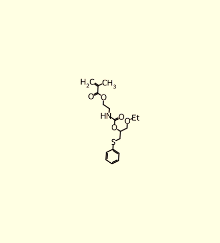 C=C(C)C(=O)OCCNC(=O)OC(COCC)CSc1ccccc1